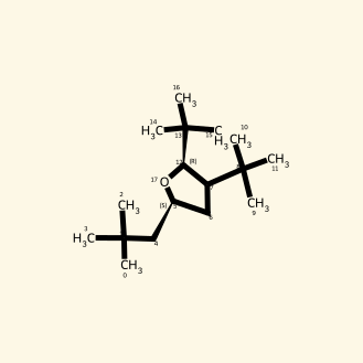 CC(C)(C)C[C@@H]1CC(C(C)(C)C)[C@H](C(C)(C)C)O1